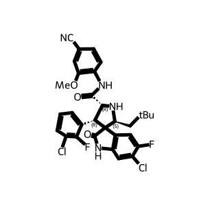 COc1cc(C#N)ccc1NC(=O)[C@@H]1N[C@@H](CC(C)(C)C)C2(C(=O)Nc3cc(Cl)c(F)cc32)[C@@H]1c1cccc(Cl)c1F